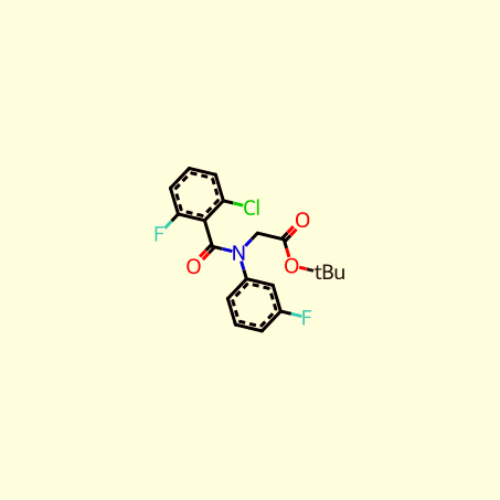 CC(C)(C)OC(=O)CN(C(=O)c1c(F)cccc1Cl)c1cccc(F)c1